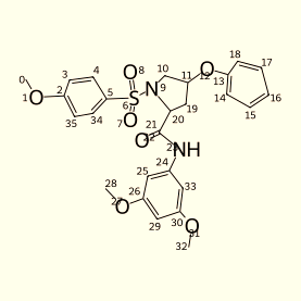 COc1ccc(S(=O)(=O)N2CC(Oc3ccccc3)CC2C(=O)Nc2cc(OC)cc(OC)c2)cc1